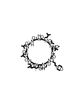 CCCC[C@@H](C)[C@@H](O)[C@H]1C(=O)N[C@H](CC)C(=O)N(C)[C@H](SCCCN2CCOCC2)C(=O)N(C)[C@@H](CC(C)(C)OC)C(=O)N[C@H](C(C)C)C(=O)N(C)[C@H](CCC(C)C)C(=O)N[C@H](C)C(=O)N[C@@H](C)C(=O)N(C)[C@@H](CC(C)C)C(=O)N(C)[C@H](CC(C)C)C(=O)N(C)[C@H](C(C)C)C(=O)N1C